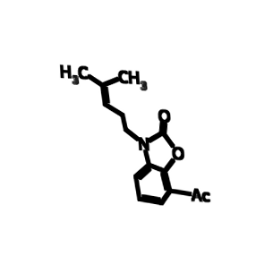 CC(=O)c1cccc2c1oc(=O)n2CCC=C(C)C